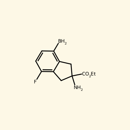 Bc1ccc(F)c2c1CC(N)(C(=O)OCC)C2